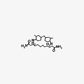 CC1CC(CC2CCC(N)C(C)C2)CCC1N.NC(=O)CCCCCCCCCCC(N)=O